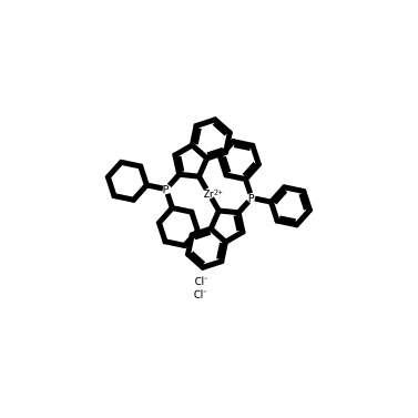 C1=C(P(c2ccccc2)c2ccccc2)[CH]([Zr+2][CH]2C(P(C3CCCCC3)C3CCCCC3)=Cc3ccccc32)c2ccccc21.[Cl-].[Cl-]